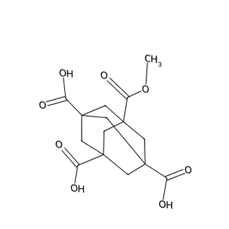 COC(=O)C12CC3(C(=O)O)CC(C(=O)O)(CC(C(=O)O)(C3)C1)C2